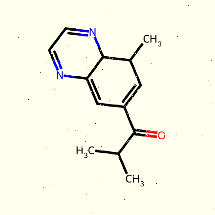 CC(C)C(=O)C1=CC(C)C2N=CC=NC2=C1